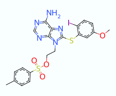 COc1ccc(I)c(Sc2nc3c(N)ncnc3n2CCOS(=O)(=O)c2ccc(C)cc2)c1